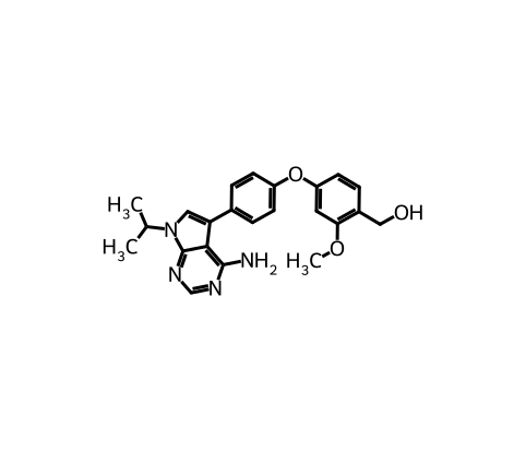 COc1cc(Oc2ccc(-c3cn(C(C)C)c4ncnc(N)c34)cc2)ccc1CO